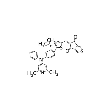 Cc1cc(N(c2ccccc2)c2ccc3c(c2)C(C)(C)c2cc(C=C4C(=O)c5cscc5C4=O)sc2-3)cc(C)n1